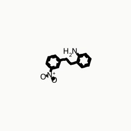 Nc1ccccc1CCc1cccc([N+](=O)[O-])c1